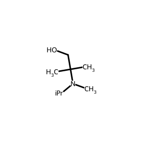 CC(C)N(C)C(C)(C)CO